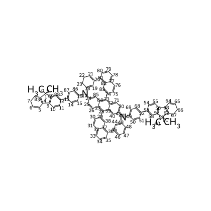 CC1(C)C2=C(C=CCC2)c2ccc(-c3ccc(N(C4=CC=CCC4)c4ccc5c(-c6ccc7ccccc7c6)c6cc(N(c7ccccc7)c7ccc(-c8ccc9c(c8)C(C)(C)C8=C9C=CCC8)cc7)ccc6c(-c6ccc7ccccc7c6)c5c4)cc3)cc21